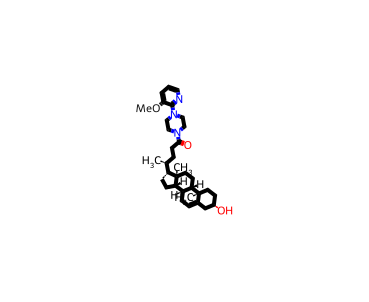 COc1cccnc1N1CCN(C(=O)CC[C@@H](C)[C@H]2CC[C@H]3[C@@H]4CC=C5C[C@@H](O)CC[C@]5(C)[C@H]4CC[C@]23C)CC1